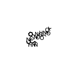 CC(NC(=O)OC(C)(C)C)C(=O)Oc1nc(-c2ccccc2Oc2ncccc2-c2ccn[nH]2)no1